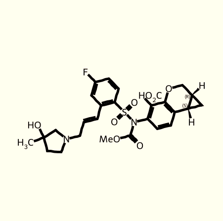 COC(=O)N(c1ccc2c(c1C(=O)O)OC[C@@H]1C[C@H]21)S(=O)(=O)c1ccc(F)cc1C=CCN1CCC(C)(O)C1